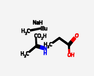 CC(=N)C(=O)O.CCC(=O)O.CCC(C)C.[NaH]